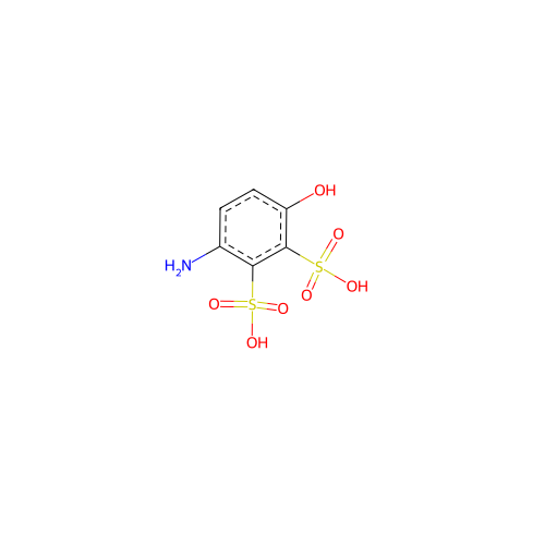 Nc1ccc(O)c(S(=O)(=O)O)c1S(=O)(=O)O